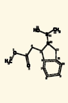 COC(=O)CC1c2ccccc2CN1B(C)O